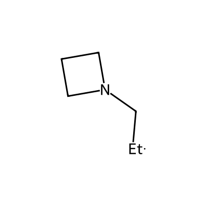 C[CH]CN1CCC1